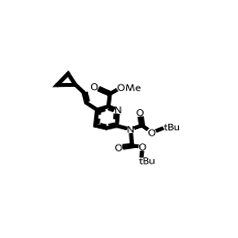 COC(=O)c1nc(N(C(=O)OC(C)(C)C)C(=O)OC(C)(C)C)ccc1/C=C/C1CC1